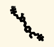 CCN(CCO[Si](C)(C)C(C)(C)C)c1ccc(/C=C/c2cc(CCCC(C)(C)[Si](C)(C)O)c(Br)s2)cc1